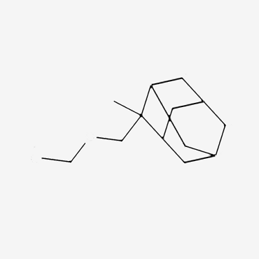 CC1(COCCl)C2CC3CC(C2)CC1C3